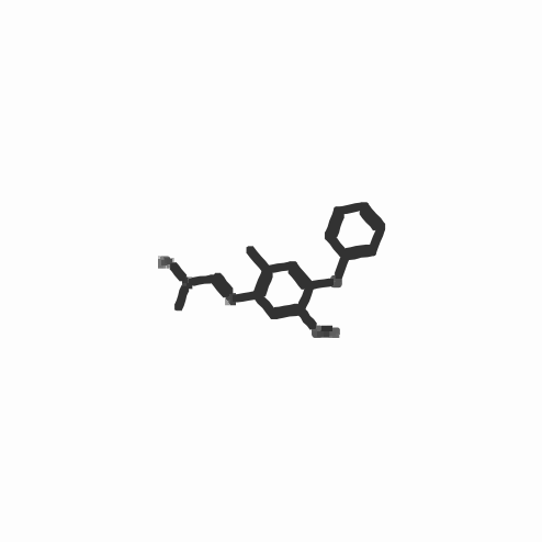 COc1cc(N=CN(C)C(C)C)c(C)cc1Oc1ccccc1